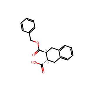 O=C(O)[C@H]1Cc2ccccc2C[C@@H]1C(=O)OCc1ccccc1